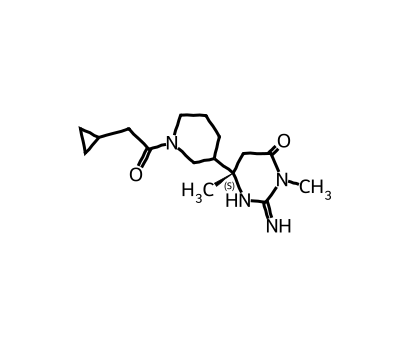 CN1C(=N)N[C@](C)(C2CCCN(C(=O)CC3CC3)C2)CC1=O